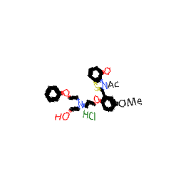 COc1ccc(OCCCN(CCO)CCOc2ccccc2)c(C2SC3=C(C(=O)CC=C3)N2C(C)=O)c1.Cl